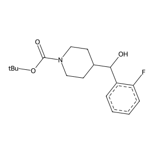 CC(C)(C)OC(=O)N1CCC(C(O)c2ccccc2F)CC1